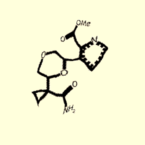 COC(=O)c1ncccc1C1COCC(C2(C(N)=O)CC2)O1